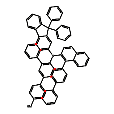 CC(C)(C)c1ccc(-c2ccc(N(c3ccc4c(c3)C(c3ccccc3)(c3ccccc3)c3ccccc3-4)c3ccc4ccccc4c3-c3ccc(-c4ccccc4)cc3)c(-c3ccccc3)c2)cc1